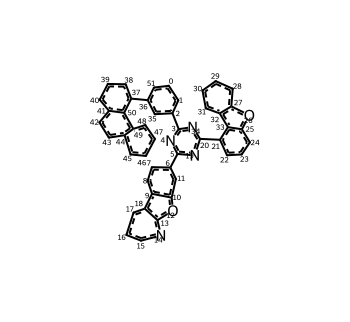 c1cc(-c2nc(-c3ccc4c(c3)oc3ncccc34)nc(-c3cccc4oc5ccccc5c34)n2)cc(-c2cccc3ccc4ccccc4c23)c1